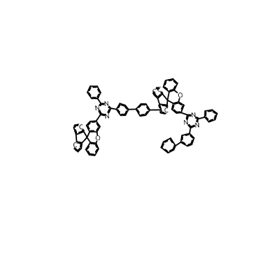 c1ccc(-c2cccc(-c3nc(-c4ccccc4)nc(-c4ccc5c(c4)Oc4ccccc4C54c5ccccc5-c5c(-c6ccc(-c7ccc(-c8nc(-c9ccccc9)nc(-c9ccc%10c(c9)Oc9ccccc9C%109c%10ccccc%10-c%10ccccc%109)n8)cc7)cc6)cccc54)n3)c2)cc1